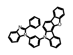 c1ccc(-c2nc3ccccc3n2-c2cccc(-n3c4ccccc4c4c5oc6ccccc6c5ccc43)c2)cc1